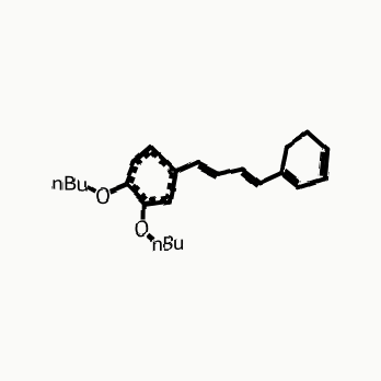 CCCCOc1ccc(/C=C/C=C/C2=CC=CCC2)cc1OCCCC